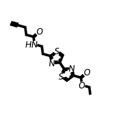 C#CCCC(=O)NCCc1nc(-c2nc(C(=O)OCC)cs2)cs1